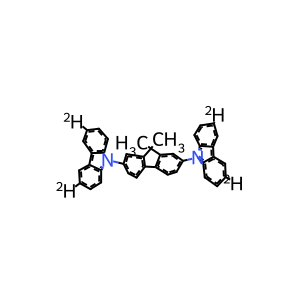 [2H]c1ccc2c(c1)c1cc([2H])ccc1n2-c1ccc2c(c1)C(C)(C)c1cc(-n3c4ccc([2H])cc4c4cc([2H])ccc43)ccc1-2